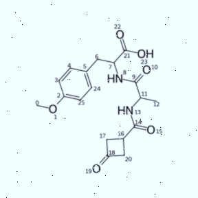 COc1ccc(CC(NC(=O)C(C)NC(=O)C2CC(=O)C2)C(=O)O)cc1